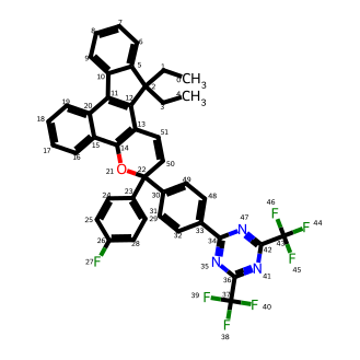 CCC1(CC)c2ccccc2-c2c1c1c(c3ccccc23)OC(c2ccc(F)cc2)(c2ccc(-c3nc(C(F)(F)F)nc(C(F)(F)F)n3)cc2)C=C1